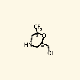 OC[C@H]1CNC[C@@H](C(F)(F)F)O1